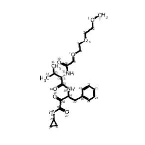 COCCOCCOCC(=O)N[C@H](C(=O)NC(Cc1ccccc1)C(=O)C(=O)NC1CC1)C(C)C